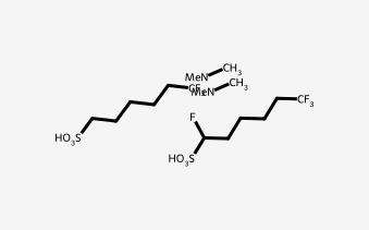 CNC.CNC.O=S(=O)(O)C(F)CCCCC(F)(F)F.O=S(=O)(O)CCCCCC(F)(F)F